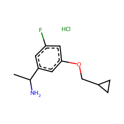 CC(N)c1cc(F)cc(OCC2CC2)c1.Cl